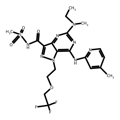 CCN(C)c1nc(Nc2cc(C)ccn2)c2c(n1)c(C(=O)NS(C)(=O)=O)nn2CCOCC(F)(F)F